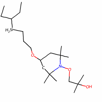 CCC(CC)[SiH2]CCCOC1CC(C)(C)N(OCC(C)(C)O)C(C)(C)C1